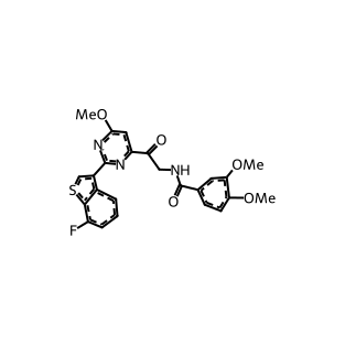 COc1cc(C(=O)CNC(=O)c2ccc(OC)c(OC)c2)nc(-c2csc3c(F)cccc23)n1